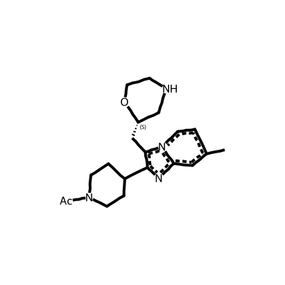 CC(=O)N1CCC(c2nc3cc(C)ccn3c2C[C@H]2CNCCO2)CC1